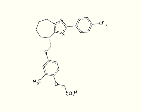 Cc1cc(SC[C@@H]2CCCCc3sc(-c4ccc(C(F)(F)F)cc4)nc32)ccc1OCC(=O)O